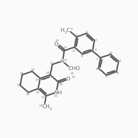 Cc1ccc(-c2ccccc2)cc1C(=O)N(C=O)Cc1c2c(c(C)[nH]c1=O)CCCC2